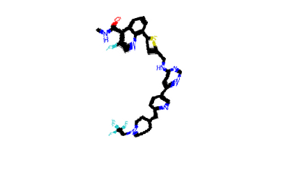 CNC(=O)c1c(F)cnc2c(C3CC(CNc4cc(-c5ccc(CC6CCN(CC(F)(F)F)CC6)nc5)ncn4)S3)cccc12